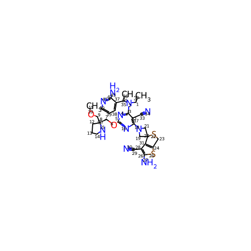 CCN(c1nc(OC[C@]2(COC)CCCN2)nc(N2CC3(C2)SCc2sc(N)c(C#N)c23)c1C#N)[C@H](C)c1cccnc1N